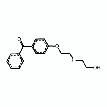 O=C(c1ccccc1)c1ccc(OCCOCCO)cc1